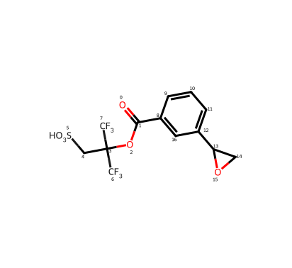 O=C(OC(CS(=O)(=O)O)(C(F)(F)F)C(F)(F)F)c1cccc(C2CO2)c1